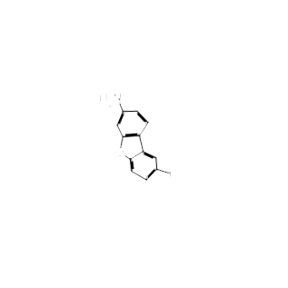 Nc1ccc2c(c1)oc1ccc(I)cc12